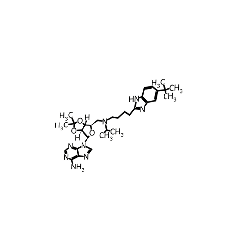 CC(C)N(CCCCc1nc2cc(C(C)(C)C)ccc2[nH]1)C[C@H]1O[C@@H](n2cnc3c(N)ncnc32)[C@H]2OC(C)(C)O[C@@H]21